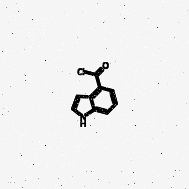 O=C(Cl)c1cccc2[nH]ccc12